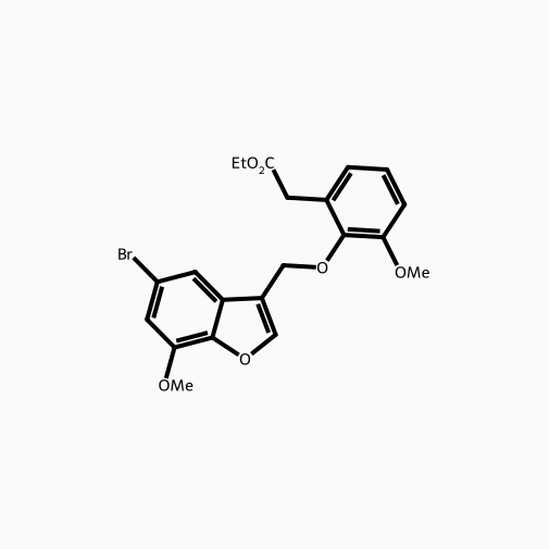 CCOC(=O)Cc1cccc(OC)c1OCc1coc2c(OC)cc(Br)cc12